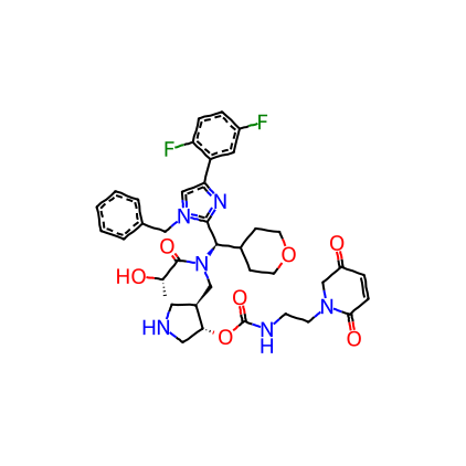 C[C@H](O)C(=O)N(C[C@@H]1CNC[C@H]1OC(=O)NCCN1CC(=O)C=CC1=O)[C@@H](c1nc(-c2cc(F)ccc2F)cn1Cc1ccccc1)C1CCOCC1